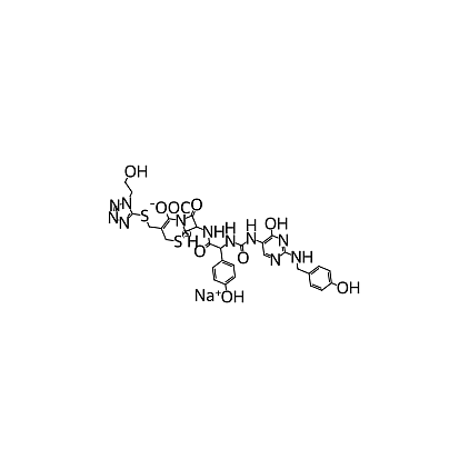 O=C(Nc1cnc(NCc2ccc(O)cc2)nc1O)NC(C(=O)NC1C(=O)N2C(C(=O)[O-])=C(CSc3nnnn3CCO)CS[C@@H]12)c1ccc(O)cc1.[Na+]